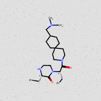 CC(C)C[C@@H]1NCCN([C@@H](CC(C)C)C(=O)N2CCC3(CCC(CN(C)C)CC3)CC2)C1=O